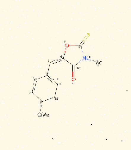 COC1C=CC(/C=C2/OC(=S)N(C(C)=O)C2=O)=CC1